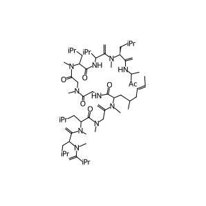 C=C(NC(C)C(C)=O)[C@H](CC(C)C)N(C)C(=C)C(NC(=O)C(CC(C)C)N(C)C(=O)CN(C)C(=O)CNC(=O)C(CC(C)C/C=C/C)N(C)C(=C)CN(C)C(=O)C(CC(C)C)N(C)C(=C)C(CC(C)C)N(C)C(=C)C(C)C)C(C)C